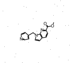 COC(=O)c1ccc2ccn(Cc3ccncc3)c2n1